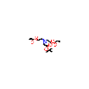 C=CC(=O)OCCN(CCOC(=O)C=C)CC(=O)OC(C)(C)C